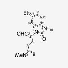 C=C(CCC(C=O)n1c(=O)n(C)c2ccc(CC)cc21)NC